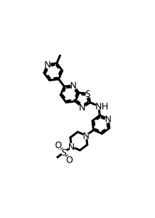 Cc1cc(-c2ccc3nc(Nc4cc(N5CCN(S(C)(=O)=O)CC5)ccn4)sc3n2)ccn1